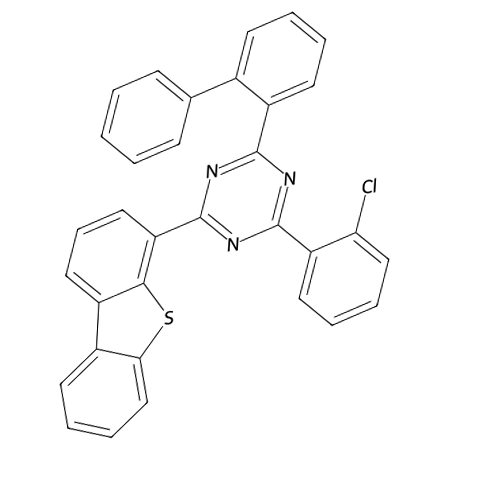 Clc1ccccc1-c1nc(-c2ccccc2-c2ccccc2)nc(-c2cccc3c2sc2ccccc23)n1